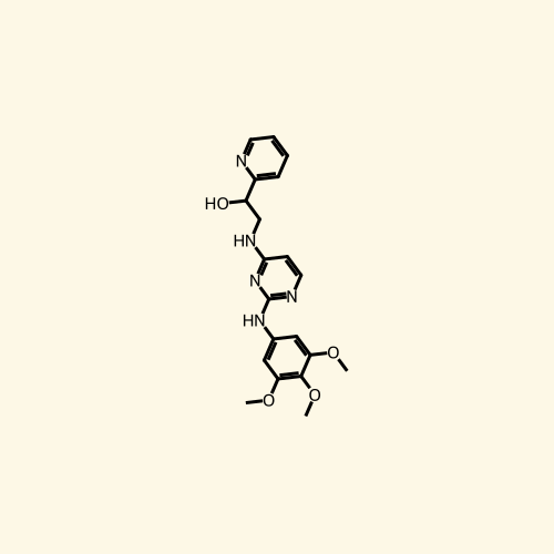 COc1cc(Nc2nccc(NCC(O)c3ccccn3)n2)cc(OC)c1OC